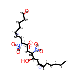 CCCCC/C=C\CC(O)C(CC(O)C(C/C=C\CCC[C]=O)[N+](=O)[O-])[N+](=O)[O-]